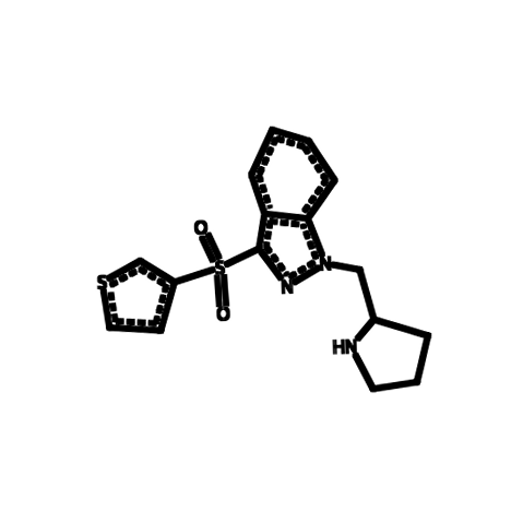 O=S(=O)(c1ccsc1)c1nn(CC2CCCN2)c2ccccc12